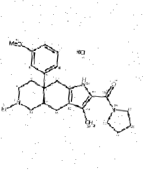 CCN1CCC2(c3cccc(OC)c3)Cc3[nH]c(C(=O)N4CCCC4)c(C)c3CC2C1.Cl